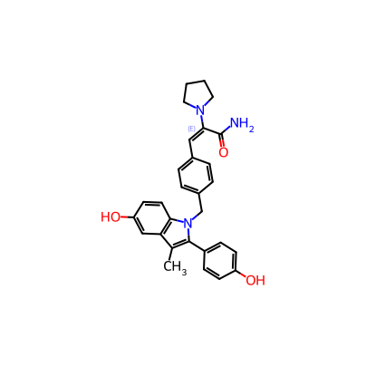 Cc1c(-c2ccc(O)cc2)n(Cc2ccc(/C=C(\C(N)=O)N3CCCC3)cc2)c2ccc(O)cc12